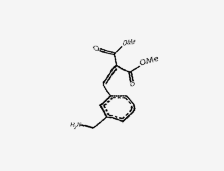 COC(=O)C(=Cc1cc[c]c(CN)c1)C(=O)OC